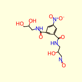 O=NCC(O)CNC(=O)c1cc(C(=O)NCC(O)CO)cc([N+](=O)[O-])c1